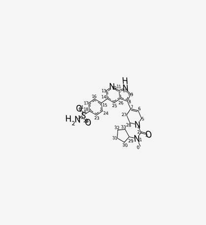 CN(C(=O)N1CC=C(c2c[nH]c3ncc(-c4ccc(S(N)(=O)=O)cc4)cc23)CC1)C1CCCC1